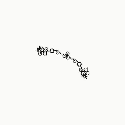 CC(C)(C)n1ncc(OCc2ccc(COCCCOC(=O)OCCCOCc3ccc(COc4cnn(C(C)(C)C)c(=O)c4Cl)cc3)cc2)c(Cl)c1=O